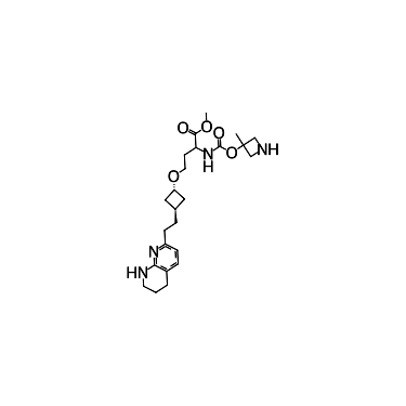 COC(=O)C(CCO[C@H]1C[C@H](CCc2ccc3c(n2)NCCC3)C1)NC(=O)OC1(C)CNC1